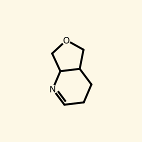 C1=NC2COCC2CC1